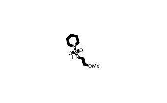 COCCNS(=O)(=O)N1CCCCC1